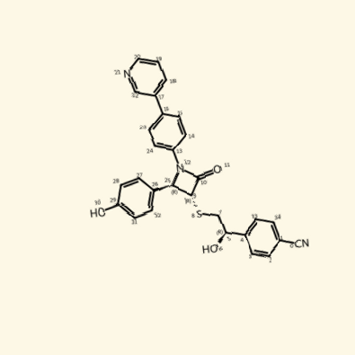 N#Cc1ccc([C@@H](O)CS[C@H]2C(=O)N(c3ccc(-c4cccnc4)cc3)[C@@H]2c2ccc(O)cc2)cc1